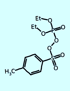 CCOP(=O)(OCC)OOS(=O)(=O)c1ccc(C)cc1